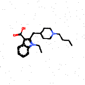 CCCCN1CCC(Cc2c(C(=O)O)c3ccccc3n2CC)CC1